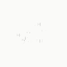 CC(C)C1OP(=O)(O)OC1C